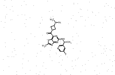 CC(=O)N(C)C1CN(C(=O)c2nc(NC(C)c3cncc(F)c3)nc3nc(C)sc23)C1